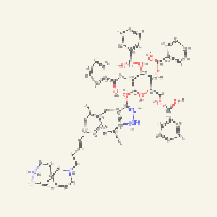 Cc1cc(/C=C/CCN2CCCC3(CCNCC3)C2)ccc1Cc1c(O[C@@H]2O[C@H](COC(=O)c3ccccc3)[C@@H](OC(=O)c3ccccc3)[C@H](OC(=O)c3ccccc3)[C@H]2CC(=O)c2ccccc2)n[nH]c1C(C)C